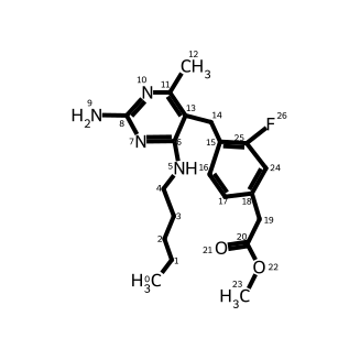 CCCCCNc1nc(N)nc(C)c1Cc1ccc(CC(=O)OC)cc1F